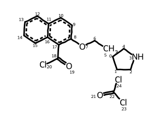 C1CCNC1.CCOc1ccc2ccccc2c1C(=O)Cl.O=C(Cl)Cl